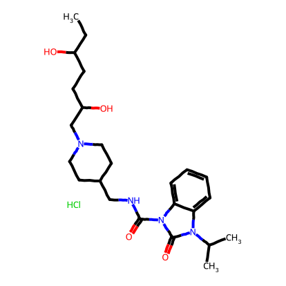 CCC(O)CCC(O)CN1CCC(CNC(=O)n2c(=O)n(C(C)C)c3ccccc32)CC1.Cl